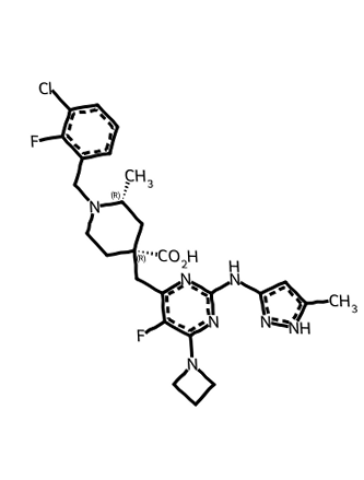 Cc1cc(Nc2nc(C[C@@]3(C(=O)O)CCN(Cc4cccc(Cl)c4F)[C@H](C)C3)c(F)c(N3CCC3)n2)n[nH]1